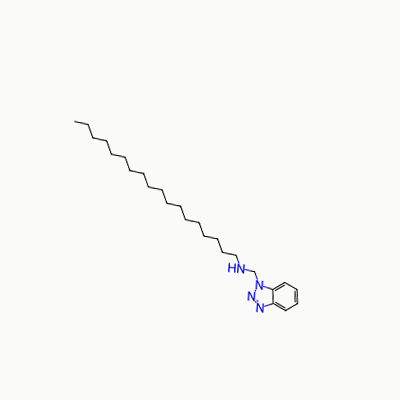 CCCCCCCCCCCCCCCCCCNCn1nnc2ccccc21